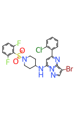 O=S(=O)(c1c(F)cccc1F)N1CCC(Nc2cc(-c3ccccc3Cl)nc3c(Br)cnn23)CC1